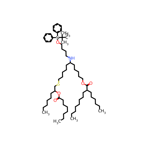 CCCCCCCCC(CCCCCC)C(=O)OCCCCCC(CCCCCSCC(CCCCCC)OC(=O)CCCCCCC)NCCCCO[Si](c1ccccc1)(c1ccccc1)C(C)(C)C